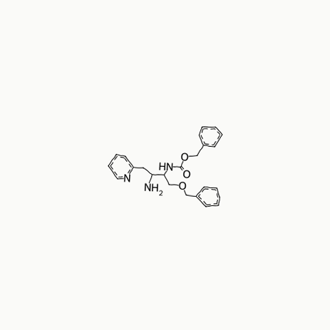 NC(Cc1ccccn1)C(COCc1ccccc1)NC(=O)OCc1ccccc1